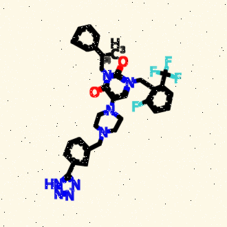 C[C@@H](Cn1c(=O)c(N2CCN(Cc3cccc(-c4nnn[nH]4)c3)CC2)cn(Cc2c(F)cccc2C(F)(F)F)c1=O)c1ccccc1